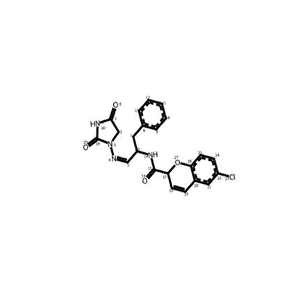 O=C1CN(/N=C\C(Cc2ccccc2)NC(=O)C2C=Cc3cc(Cl)ccc3O2)C(=O)N1